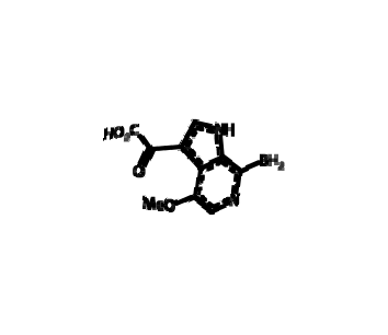 Bc1ncc(OC)c2c(C(=O)C(=O)O)c[nH]c12